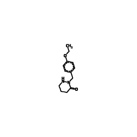 CCOc1ccc(CN2NCCCC2=O)cc1